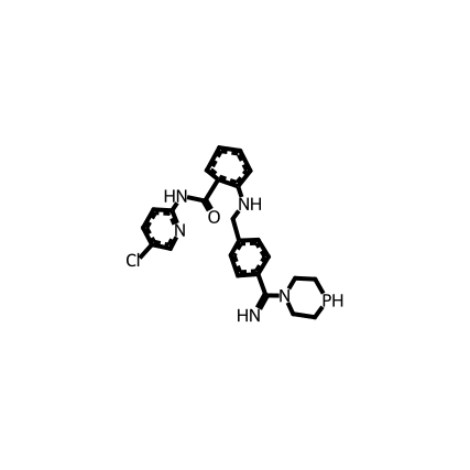 N=C(c1ccc(CNc2ccccc2C(=O)Nc2ccc(Cl)cn2)cc1)N1CCPCC1